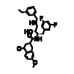 CCc1cccc(CNC[C@@H](O)[C@H](Cc2cc(F)cc(F)c2)NC(=O)C2CC(=O)c3ccc(OC)cc3C2)c1